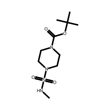 CNS(=O)(=O)N1CCN(C(=O)OC(C)(C)C)CC1